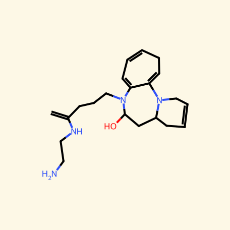 C=C(CCCN1C2=CC=CCC=C2N2CC=CCC2CC1O)NCCN